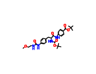 COCCNC(=O)Nc1ccc(CC(NC(=O)OC(C)(C)C)C(=O)Nc2ccc(C(=O)OC(C)(C)C)cc2)cc1